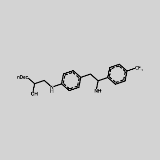 CCCCCCCCCCC(O)CNc1ccc(CC([NH])c2ccc(C(F)(F)F)cc2)cc1